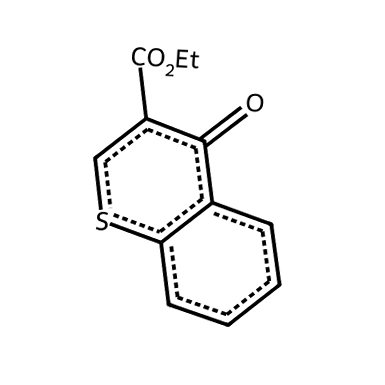 CCOC(=O)c1csc2ccccc2c1=O